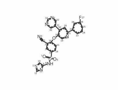 N#Cc1cc(S(=O)(=O)Nc2cscn2)ccc1Oc1cnc(-c2cccc(F)c2)cc1-c1cncnc1